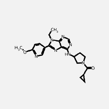 CCn1c(-c2ccc(OC)nc2)nc2c(NC3CCN(C(=O)C4CC4)C3)ncnc21